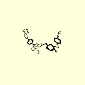 CCOc1ccc(C(COCc2ccc(F)c(Oc3ccc(F)cc3)c2)C(F)(F)F)cc1